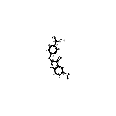 COc1ccc2c(c1)C(=O)C(Cc1ccc(C(=O)O)cc1)O2